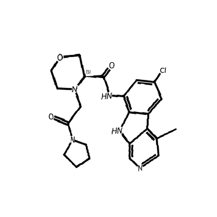 Cc1cncc2[nH]c3c(NC(=O)[C@@H]4COCCN4CC(=O)N4CCCC4)cc(Cl)cc3c12